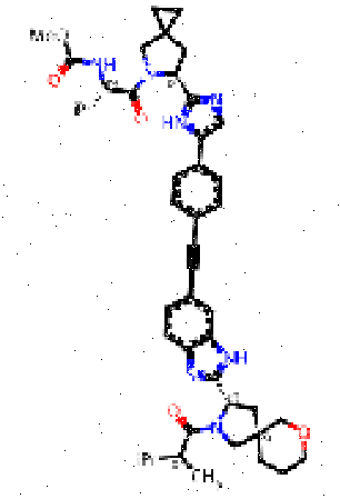 COC(=O)N[C@H](C(=O)N1CC2(CC2)C[C@H]1c1ncc(-c2ccc(C#Cc3ccc4nc([C@@H]5C[C@@]6(CCCOC6)CN5C(=O)[C@@H](C)C(C)C)[nH]c4c3)cc2)[nH]1)C(C)C